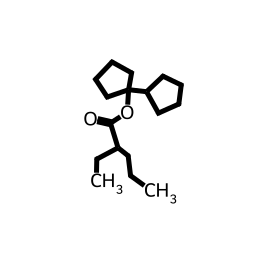 CCCC(CC)C(=O)OC1(C2CCCC2)CCCC1